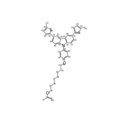 CC(=S)OCCCCCCCCOc1ccc(-n2c3ccc(-c4ccc(C)s4)cc3c3cc(-c4ccc(C)s4)ccc32)cc1